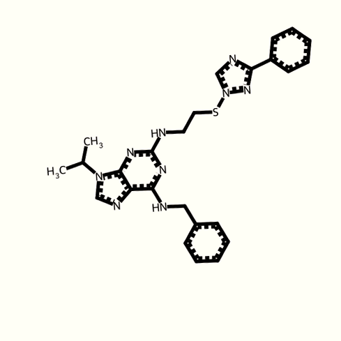 CC(C)n1cnc2c(NCc3ccccc3)nc(NCCSn3cnc(-c4ccccc4)n3)nc21